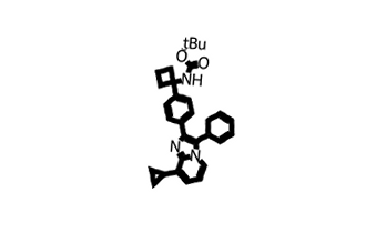 CC(C)(C)OC(=O)NC1(c2ccc(-c3nc4c(C5CC5)cccn4c3C3C=CC=CC3)cc2)CCC1